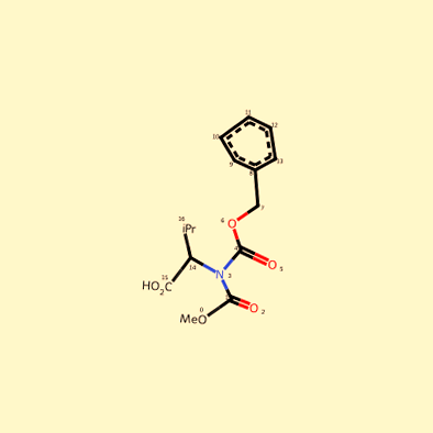 COC(=O)N(C(=O)OCc1ccccc1)C(C(=O)O)C(C)C